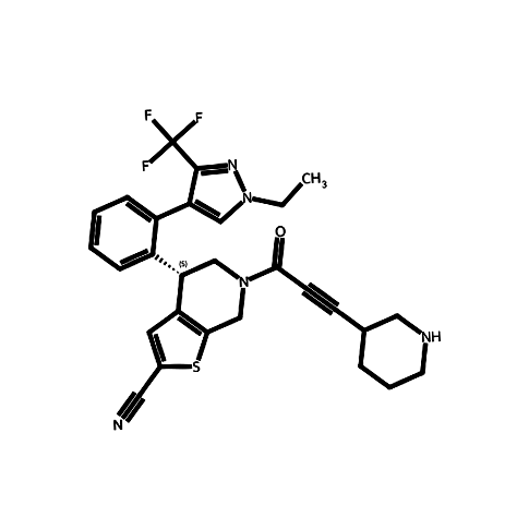 CCn1cc(-c2ccccc2[C@@H]2CN(C(=O)C#CC3CCCNC3)Cc3sc(C#N)cc32)c(C(F)(F)F)n1